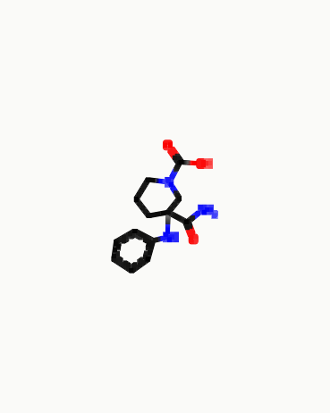 NC(=O)C1(Nc2ccccc2)CCCN(C(=O)O)C1